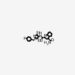 CCc1nn(Cc2ccc(F)cc2)c(CC)c1NC(=O)c1cc(C(N)=O)c2ccccc2n1